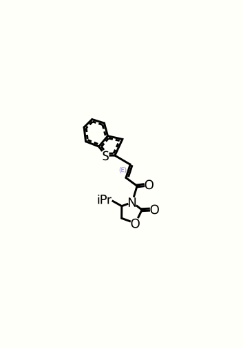 CC(C)C1COC(=O)N1C(=O)/C=C/c1cc2ccccc2s1